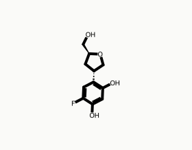 OC[C@@H]1C[C@@H](c2cc(F)c(O)cc2O)CO1